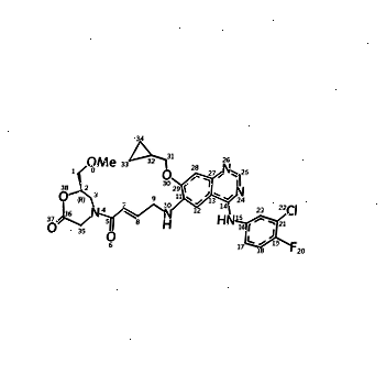 COC[C@H]1CN(C(=O)C=CCNc2cc3c(Nc4ccc(F)c(Cl)c4)ncnc3cc2OCC2CC2)CC(=O)O1